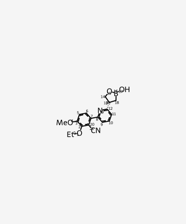 CCOc1c(OC)ccc(-c2cccc([C@@H]3COB(O)C3)n2)c1C#N